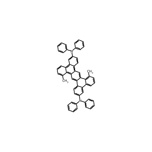 Cc1cccc2c3cc(N(c4ccccc4)c4ccccc4)ccc3c3cc4c(cc3c12)c1ccc(N(c2ccccc2)c2ccccc2)cc1c1cccc(C)c14